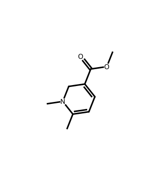 COC(=O)C1=CC=C(C)N(C)C1